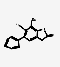 CCc1c(-c2ccccc2)cc2c(c1C(C)(C)C)OC(=O)C2